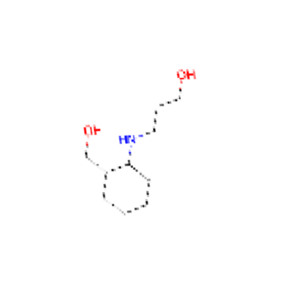 OCCCNC1CCCCC1CO